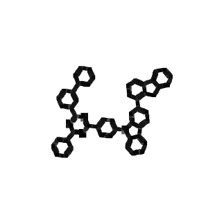 c1ccc(-c2cccc(-c3nc(-c4ccccc4)nc(-c4ccc(-n5c6ccccc6c6ccc(-c7cccc8c7Cc7ccccc7-8)cc65)cc4)n3)c2)cc1